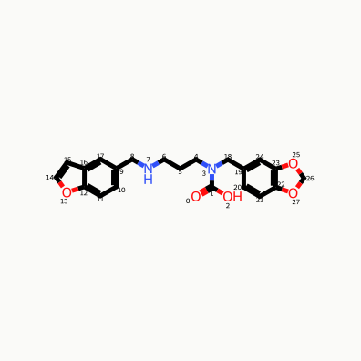 O=C(O)N(CCCNCc1ccc2occc2c1)Cc1ccc2c(c1)OCO2